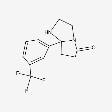 O=C1CCC2(c3cccc(C(F)(F)F)c3)NCCN12